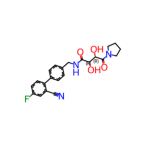 N#Cc1cc(F)ccc1-c1ccc(CNC(=O)[C@H](O)[C@@H](O)C(=O)N2CCCC2)cc1